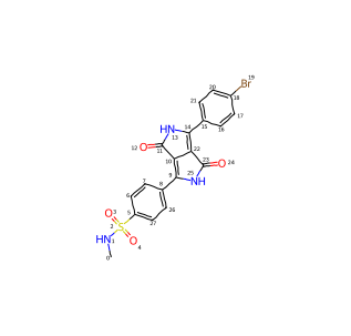 CNS(=O)(=O)c1ccc(C2=C3C(=O)NC(c4ccc(Br)cc4)=C3C(=O)N2)cc1